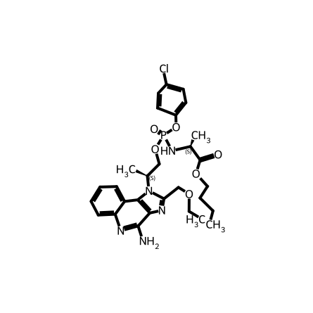 CCCCOC(=O)[C@H](C)NP(=O)(OC[C@H](C)n1c(COCC)nc2c(N)nc3ccccc3c21)Oc1ccc(Cl)cc1